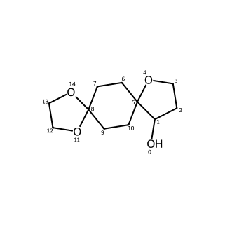 OC1CCOC12CCC1(CC2)OCCO1